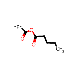 CCCC(=O)OC(=O)CCCC(F)(F)F